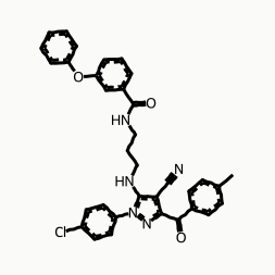 Cc1ccc(C(=O)c2nn(-c3ccc(Cl)cc3)c(NCCCNC(=O)c3cccc(Oc4ccccc4)c3)c2C#N)cc1